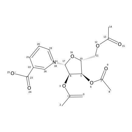 C=C(C)O[C@@H]1[C@H](OC(C)=O)[C@@H](COC(C)=O)O[C@H]1[n+]1cccc(C(=O)[O-])c1